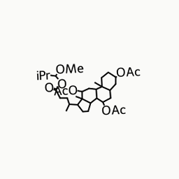 COC(OC(=O)CCC(C)C1CCC2C3C(OC(C)=O)CC4CC(OC(C)=O)CCC4(C)C3CC(OC(C)=O)C12C)C(C)C